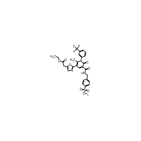 CCOC(=O)Cc1nnc(-c2cc(C(=O)NCc3ccc(S(C)(=O)=O)cc3)c(=O)n(-c3cccc(C(F)(F)F)c3)c2C)o1